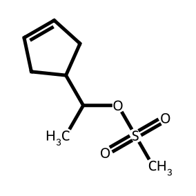 CC(OS(C)(=O)=O)C1CC=CC1